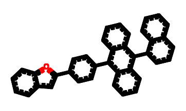 c1ccc2oc(-c3ccc(-c4c5ccccc5c(-c5cccc6ccccc56)c5ccccc45)cc3)cc2c1